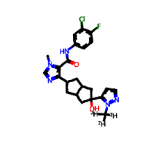 [2H]C([2H])([2H])n1nccc1C1(O)CC2CC(c3ncn(C)c3C(=O)Nc3ccc(F)c(Cl)c3)CC2C1